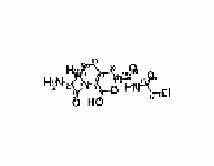 N[C@@H]1C(=O)N2C(C(=O)O)=C(COC(=O)NC(=O)CCl)CS[C@H]12